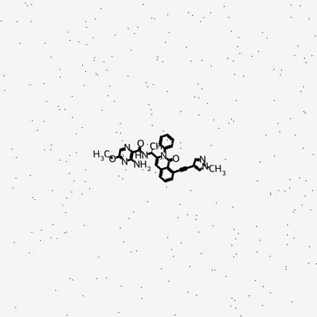 COc1cnc(C(=O)N[C@H](C)c2cc3cccc(C#Cc4cnn(C)c4)c3c(=O)n2-c2ccccc2)c(N)n1